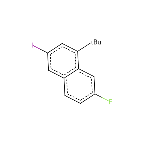 CC(C)(C)c1cc(I)cc2ccc(F)cc12